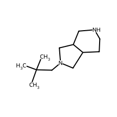 CC(C)(C)CN1CC2CCNCC2C1